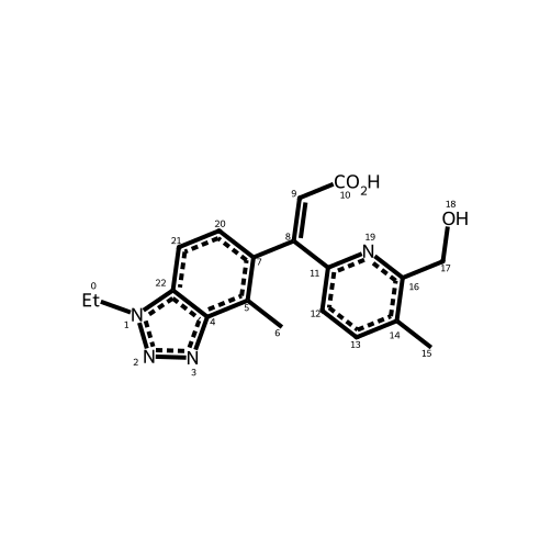 CCn1nnc2c(C)c(C(=CC(=O)O)c3ccc(C)c(CO)n3)ccc21